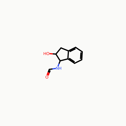 O=CNC1c2ccccc2CC1O